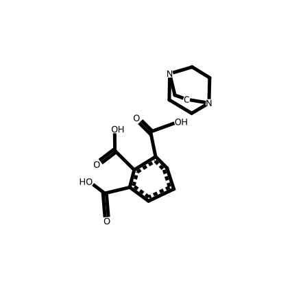 C1CN2CCN1CC2.O=C(O)c1cccc(C(=O)O)c1C(=O)O